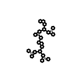 c1ccc(-n2c3ccccc3c3cc(-c4cc(-c5ccc6ccc7c(-c8cccc(-n9c%10ccccc%10c%10ccc(-c%11cc(-c%12ccc%13ccc%14ccccc%14c%13c%12)cc(-c%12ccc%13c%14ccccc%14n(-c%14ccccc%14)c%13c%12)c%11)cc%109)c8)cccc7c6c5)cc(-c5ccc6c(c5)c5ccccc5n6-c5ccccc5)c4)ccc32)cc1